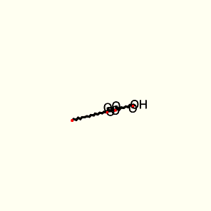 CCCCCCCCCCCCCCCCCC(=O)OCOC(=O)CCCCCCC(=O)O